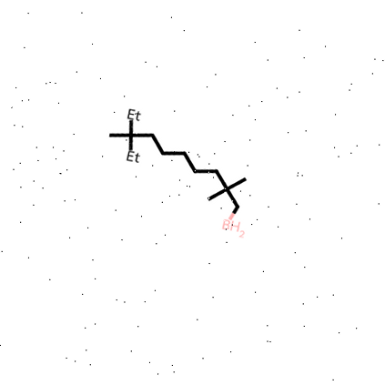 BCC(C)(C)CCCCCC(C)(CC)CC